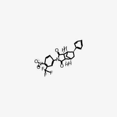 O=C1[C@@H]2[C@H]3C[C@@H]([C@@H]2C(=O)N1c1ccc([N+](=O)[O-])c(C(F)(F)F)c1)[C@@H](c1ccccc1)C3